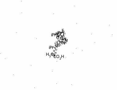 CC(C)C(CCCN(C)C(=O)O)N1CC2(CCN(c3ncnnc3Oc3ccc(F)cc3C(=O)N(C(C)C)C(C)C)C2)C1